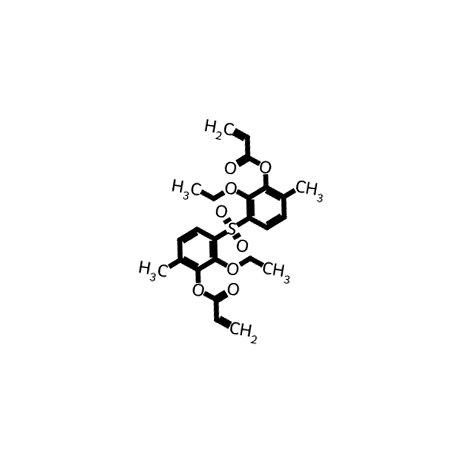 C=CC(=O)Oc1c(C)ccc(S(=O)(=O)c2ccc(C)c(OC(=O)C=C)c2OCC)c1OCC